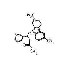 Cc1ccc2c(c1)c1c(n2CC(CC(=O)CN)c2cccnc2)CN(C)CC1